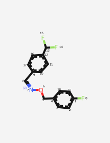 Fc1ccc(CO/N=[C]\c2ccc(C(F)F)cc2)cc1